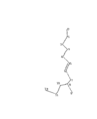 CCCCC/C=C/CC(C)CCC